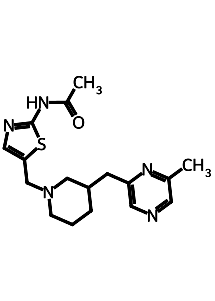 CC(=O)Nc1ncc(CN2CCCC(Cc3cncc(C)n3)C2)s1